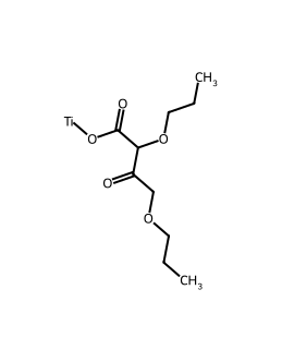 CCCOCC(=O)C(OCCC)C(=O)[O][Ti]